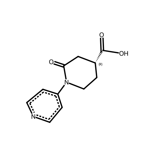 O=C(O)[C@@H]1CCN(c2ccncc2)C(=O)C1